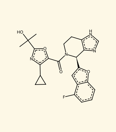 CC(C)(O)c1nc(C2CC2)c(C(=O)N2CCc3[nH]cnc3[C@H]2c2cc3c(F)cccc3o2)o1